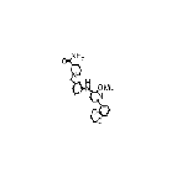 COc1nc(-c2cccc3c2OCCO3)ccc1NC1=CC(CN2CCCC(C(N)=O)C2)CC=C1